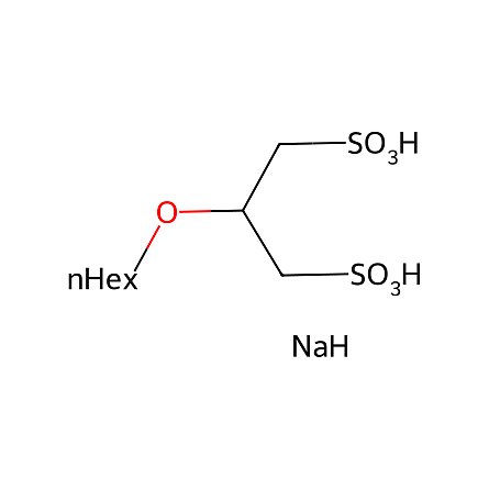 CCCCCCOC(CS(=O)(=O)O)CS(=O)(=O)O.[NaH]